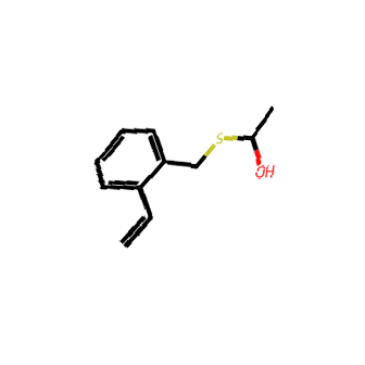 C=Cc1ccccc1CSC(C)O